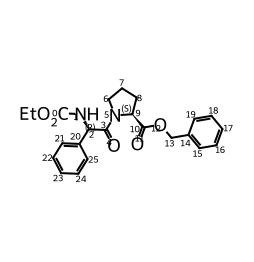 CCOC(=O)N[C@@H](C(=O)N1CCC[C@H]1C(=O)OCc1ccccc1)c1ccccc1